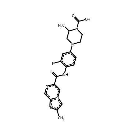 Cc1cn2cc(C(=O)Nc3ccc(N4CCN(C(=O)O)C(C)C4)cc3F)ncc2n1